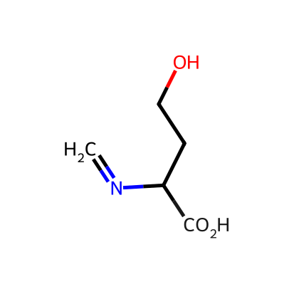 C=NC(CCO)C(=O)O